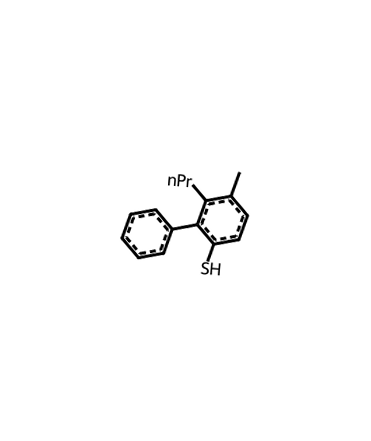 CCCc1c(C)ccc(S)c1-c1ccccc1